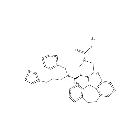 CC(C)(C)OC(=O)N1CCN(C2c3ncccc3CCc3cccc(Cl)c32)[C@@H](C(=O)N(CCCn2ccnc2)Cc2ccccc2)C1